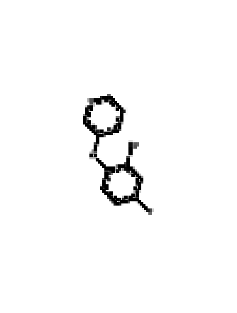 Fc1ccc(Oc2cncnc2)c(Br)c1